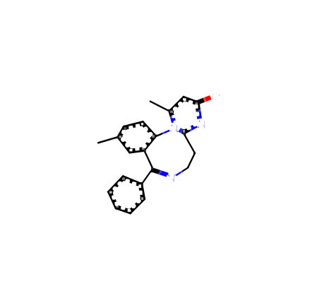 Cc1ccc2c(c1)C(c1ccccc1)=NCCc1nc(=O)cc(C)n1-2